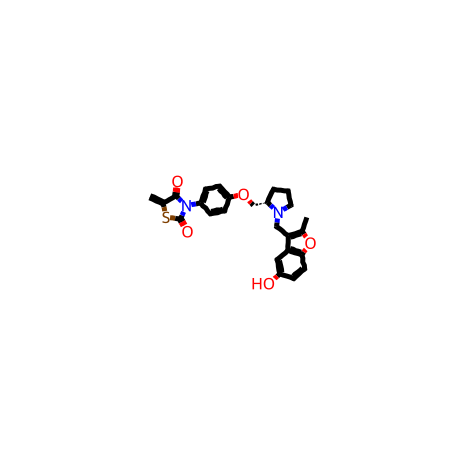 C=C1SC(=O)N(c2ccc(OC[C@@H]3CCCN3Cc3c(C)oc4ccc(O)cc34)cc2)C1=O